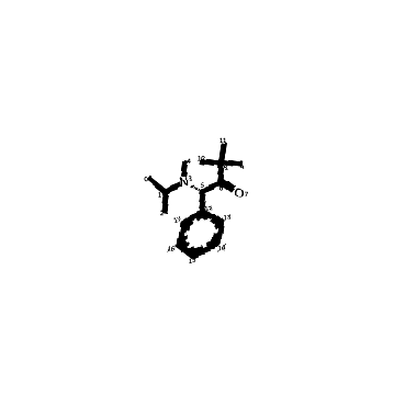 CC(C)N(C)[C@H](C(=O)C(C)(C)C)c1ccccc1